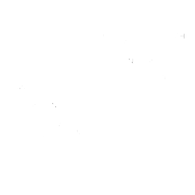 CC1CC(=O)N(CCCCN2C(=O)c3ccccc3C2=O)C1=O